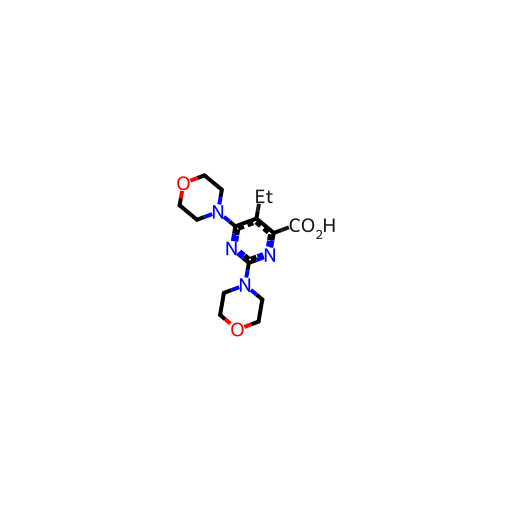 CCc1c(C(=O)O)nc(N2CCOCC2)nc1N1CCOCC1